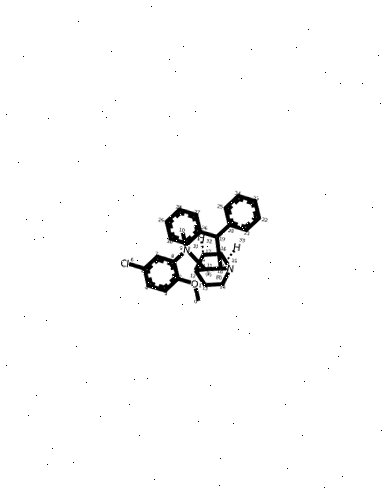 COc1ccc(Cl)cc1N(C)[C@@H]1C2CCN(CC2)[C@@H]1C(c1ccccc1)c1ccccc1